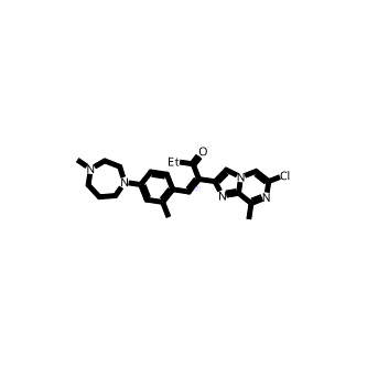 CCC(=O)/C(=C\c1ccc(N2CCCN(C)CC2)cc1C)c1cn2cc(Cl)nc(C)c2n1